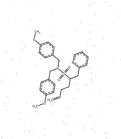 C=CCCC(Cc1ccccn1)S(=O)(=O)N(Cc1ccc(OC)cc1)Cc1ccc(OC)cc1